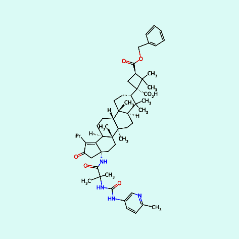 Cc1ccc(NC(=O)NC(C)(C)C(=O)N[C@@]23CC[C@]4(C)[C@H](CC[C@@H]5[C@]6(C)CC[C@H]([C@@]7(C(=O)O)C[C@@H](C(=O)OCc8ccccc8)C7(C)C)C(C)(C)[C@H]6CC[C@]54C)C2=C(C(C)C)C(=O)C3)cn1